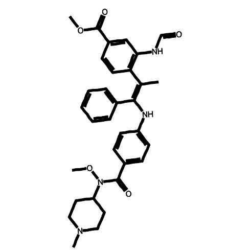 COC(=O)c1ccc(/C(C)=C(/Nc2ccc(C(=O)N(OC)C3CCN(C)CC3)cc2)c2ccccc2)c(NC=O)c1